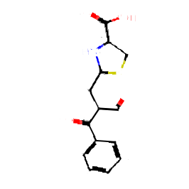 O=CC(CC1NC(C(=O)O)CS1)C(=O)c1ccccc1